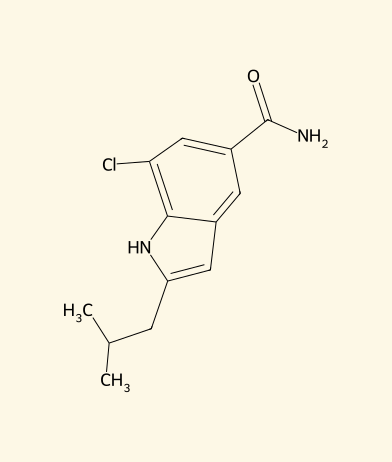 CC(C)Cc1cc2cc(C(N)=O)cc(Cl)c2[nH]1